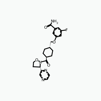 NC(=O)c1cc(F)cc(OC[C@H]2CC[C@H](C(=O)N3OCC[C@H]3c3cnccn3)CC2)c1